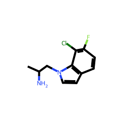 CC(N)Cn1ccc2ccc(F)c(Cl)c21